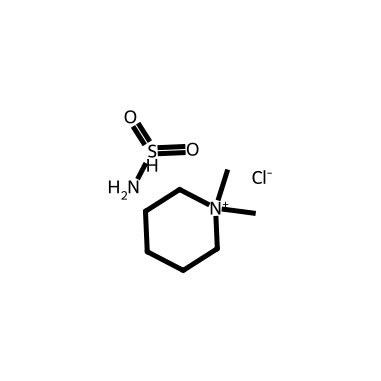 C[N+]1(C)CCCCC1.N[SH](=O)=O.[Cl-]